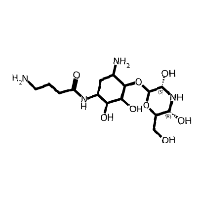 NCCCC(=O)NC1CC(N)C(OC2OC(CO)[C@@H](O)N[C@H]2O)C(O)C1O